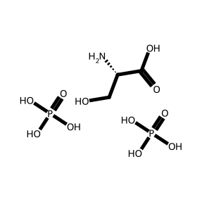 N[C@@H](CO)C(=O)O.O=P(O)(O)O.O=P(O)(O)O